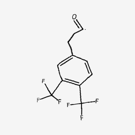 O=[C]Cc1ccc(C(F)(F)F)c(C(F)(F)F)c1